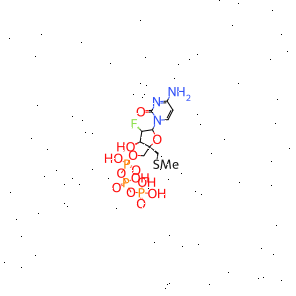 CSC[C@]1(COP(=O)(O)OP(=O)(O)OP(=O)(O)O)OC(n2ccc(N)nc2=O)[C@H](F)[C@@H]1O